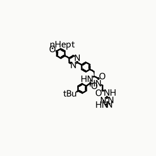 CCCCCCCOc1ccc(-c2cnc(-c3ccc(C[C@H](NC(=O)c4ccc(C(C)(C)C)cc4)C(=O)NCC(=O)Nc4nn[nH]n4)cc3)nc2)cc1